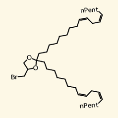 CCCCC/C=C\C/C=C\CCCCCCCCC1(CCCCCCC/C=C\C/C=C\CCCCC)OCC(CBr)O1